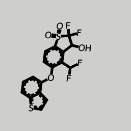 O=S1(=O)c2ccc(Oc3cccc4sccc34)c(C(F)F)c2C(O)C1(F)F